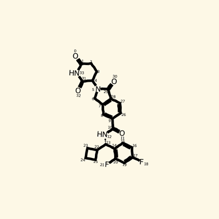 O=C1CCC(N2Cc3cc(C(=O)N[C@H](c4ccc(F)cc4F)C4CCC4)ccc3C2=O)C(=O)N1